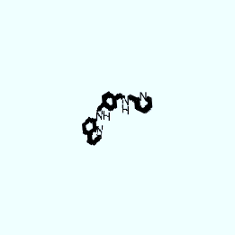 c1ccc(CNCc2ccc(CNC3CCCc4cccnc43)cc2)nc1